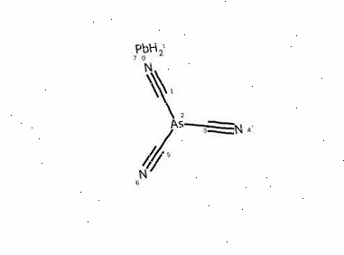 N#C[As](C#N)C#N.[PbH2]